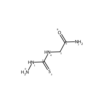 NNC(=S)NCC(N)=O